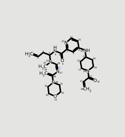 C=CCC(NC(=O)c1cc(NC2CCN(C(=O)C=C)CC2)ccn1)N(C)/C=N\C(=C)N1CCOCC1